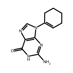 Nc1nc2c(ncn2C2=CCCCC2)c(=O)[nH]1